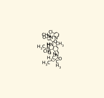 CCCC(C)(C)C(=O)n1cc2cc(C)c(NC(=O)c3cc(OC)nn3-c3ncccc3Cl)c(C(=O)NC(C)C)c2n1